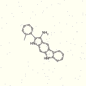 Cc1ccccc1-c1[nH]c2cc3[nH]c4ccccc4c3cc2c1N